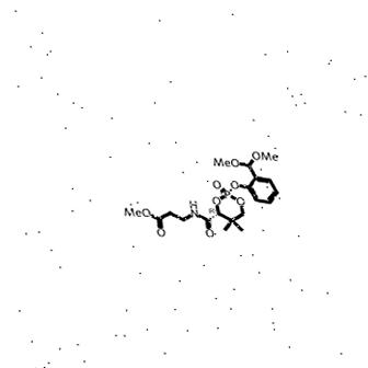 COC(=O)CCNC(=O)[C@@H]1O[P@](=O)(Oc2ccccc2C(OC)OC)OCC1(C)C